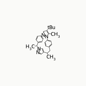 Cc1c(C(C)(C)C)cnn1-c1ccc(CC(C)c2cnn(C(C)c3ccccc3)c2)cc1